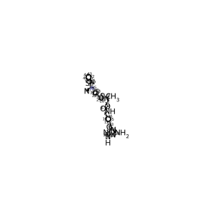 CN(CCOC(=O)NCc1ccc(COc2nc(N)nc3[nH]cnc23)cc1)c1ccc(-c2ccc(/C=C(\C#N)c3nc4ccccc4s3)s2)s1